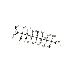 F[C](F)C(F)(F)C(F)(F)C(F)(F)C(F)(F)C(F)(F)C(F)(F)C(F)(F)C(F)(F)F